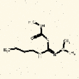 CCCCNC(=NN(C)C)SC(=O)NC